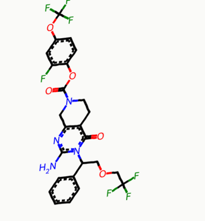 Nc1nc2c(c(=O)n1C(COCC(F)(F)F)c1ccccc1)CCN(C(=O)Oc1ccc(OC(F)(F)F)cc1F)C2